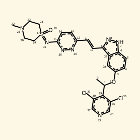 CC(Oc1ccc2[nH]nc(/C=C/c3ccc(N=S4(=O)CCN(C)CC4)nn3)c2c1)c1c(Cl)cncc1Cl